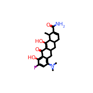 CC1C(C(N)=O)=CCC2CC3Cc4c(N(C)C)cc(I)c(O)c4C(=O)C3=C(O)C21